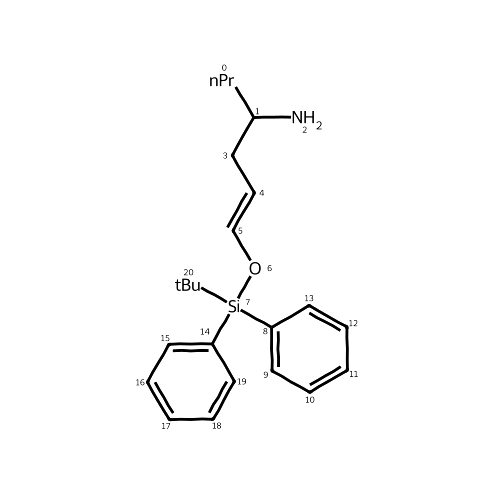 CCCC(N)CC=CO[Si](c1ccccc1)(c1ccccc1)C(C)(C)C